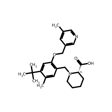 Cc1cncc(COc2cc(C(C)(C)C)c(C)cc2CN2CCCC[C@H]2C(=O)O)c1